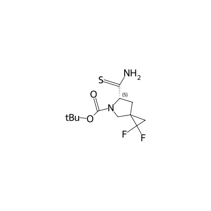 CC(C)(C)OC(=O)N1CC2(C[C@H]1C(N)=S)CC2(F)F